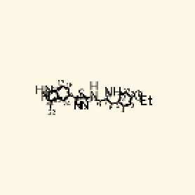 CCOc1ccc(C[C@H](N)CNc2nnc(-c3ccc4[nH]nc(C)c4c3)s2)cc1